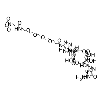 Nc1nc2c(ncn2[C@@H]2O[C@@H]3COP(=O)(O)O[C@H]4C(O)[C@@H](COP(=O)(O)O[C@@H]3C2O)O[C@H]4n2cnc3c(NC(=O)CCOCCOCCOCCOCCNC(=O)CCN4C(=O)C=CC4=O)ncnc32)c(=O)[nH]1